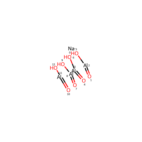 [Na].[O]=[Al][OH].[O]=[Al][OH].[O]=[Al][OH].[O]=[Al][OH]